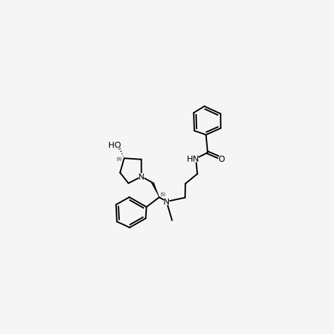 CN(CCCNC(=O)c1ccccc1)[C@H](CN1CC[C@H](O)C1)c1ccccc1